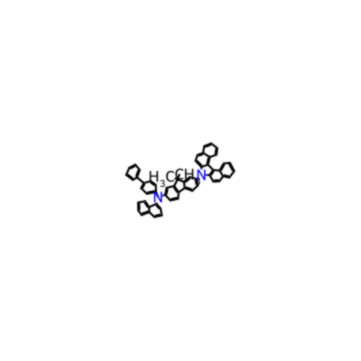 CC1(C)c2cc(N(c3ccc(-c4ccccc4)cc3)c3cccc4ccccc34)ccc2-c2ccc(-n3c4ccc5ccccc5c4c4c5ccccc5ccc43)cc21